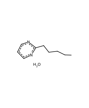 CCCCCc1ncccn1.O